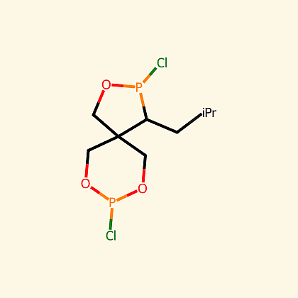 CC(C)CC1P(Cl)OCC12COP(Cl)OC2